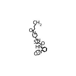 C=CCCC(=O)N1CCC(c2nc(C(=O)Nc3ccccc3N3CCOCC3)cs2)CC1